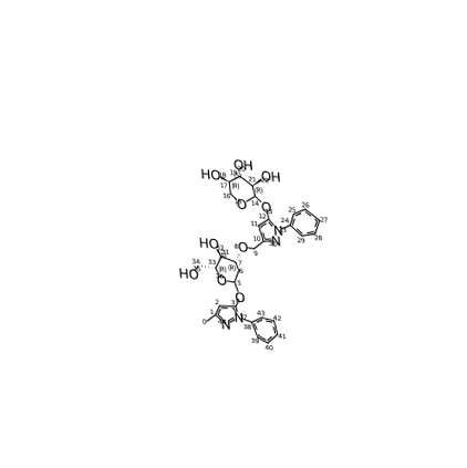 Cc1cc(OC2C[C@@H](OCc3cc(OC4OC[C@@H](O)[C@H](O)[C@H]4O)n(-c4ccccc4)n3)[C@H](O)[C@@H](CO)O2)n(-c2ccccc2)n1